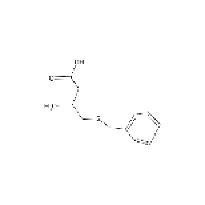 CC(CSCc1ccccc1)CC(=O)O